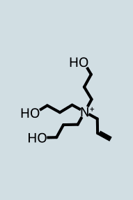 C=CC[N+](CCCO)(CCCO)CCCO